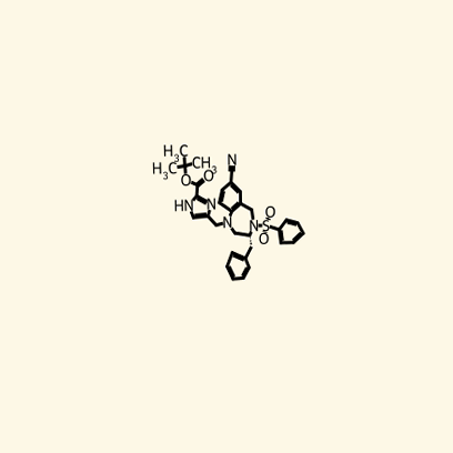 CC(C)(C)OC(=O)c1nc(CN2C[C@@H](Cc3ccccc3)N(S(=O)(=O)c3ccccc3)Cc3cc(C#N)ccc32)c[nH]1